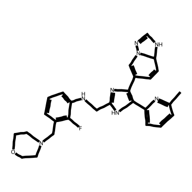 Cc1cccc(-c2[nH]c(CNc3cccc(CN4CCOCC4)c3F)nc2C2=CN3N=CNC3C=C2)n1